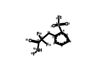 CCS(=O)(=O)c1ccccc1CC(F)(F)C(=O)NF